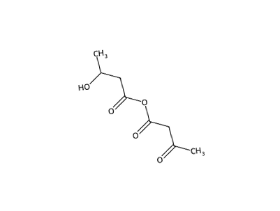 CC(=O)CC(=O)OC(=O)CC(C)O